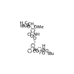 COc1cc(NC(=O)OCCc2ccc(-c3ccccc3)c(N(C(=O)O)[C@H]3CC[C@H](NC(=O)OC(C)(C)C)CC3)c2)c(Cl)cc1CO[Si](C)(C)C(C)(C)C